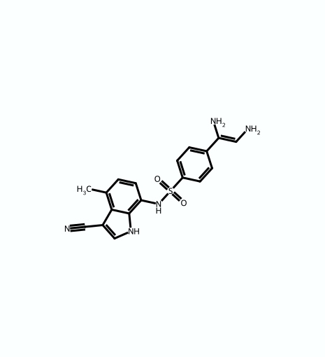 Cc1ccc(NS(=O)(=O)c2ccc(/C(N)=C/N)cc2)c2[nH]cc(C#N)c12